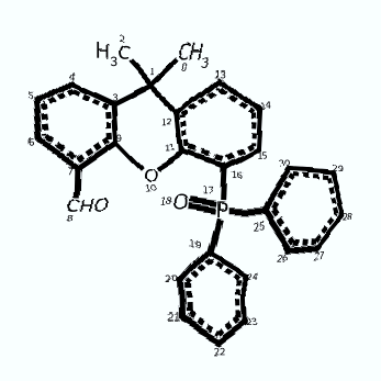 CC1(C)c2cccc(C=O)c2Oc2c1cccc2P(=O)(c1ccccc1)c1ccccc1